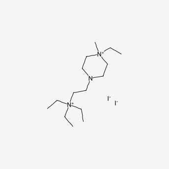 CC[N+]1(C)CCN(CC[N+](CC)(CC)CC)CC1.[I-].[I-]